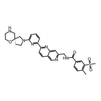 Cc1ccc(C(=O)NCc2cc3nc(-c4cccc(N5CC[C@]6(CNCCO6)C5)n4)ccc3cn2)cc1S(C)(=O)=O